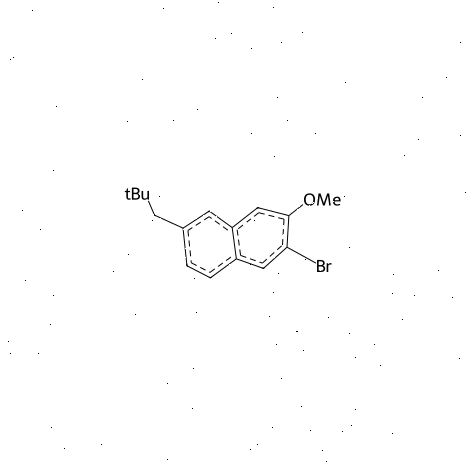 COc1cc2cc(CC(C)(C)C)ccc2cc1Br